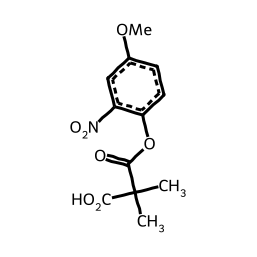 COc1ccc(OC(=O)C(C)(C)C(=O)O)c([N+](=O)[O-])c1